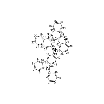 c1ccc(-n2c3ccccc3c3cc(N(c4ccc5ccccc5c4)c4cccc5sc6c7ccccc7ccc6c45)ccc32)cc1